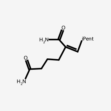 CCCC(C)C=C(CCCC(N)=O)C(N)=O